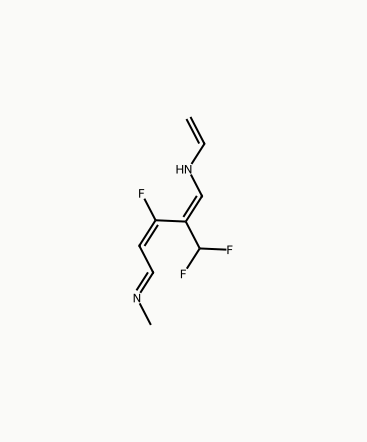 C=CN\C=C(/C(F)=C\C=N\C)C(F)F